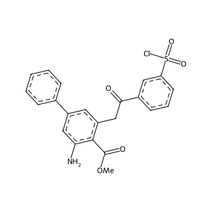 COC(=O)c1c(N)cc(-c2ccccc2)cc1CC(=O)c1cccc(S(=O)(=O)Cl)c1